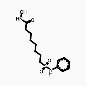 O=C(CCCCCCCS(=O)(=O)Nc1ccccc1)NO